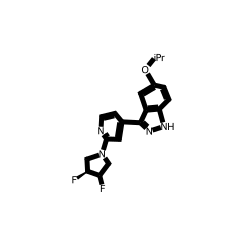 CC(C)Oc1ccc2[nH]nc(-c3ccnc(N4CC(F)[C@@H](F)C4)c3)c2c1